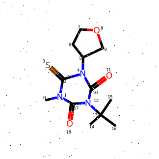 Cn1c(=S)n(C2CCOC2)c(=O)n(C(C)(C)C)c1=O